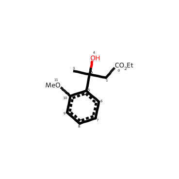 CCOC(=O)CC(C)(O)c1ccccc1OC